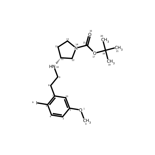 COc1ccc(I)c(CCN[C@@H]2CCN(C(=O)OC(C)(C)C)C2)c1